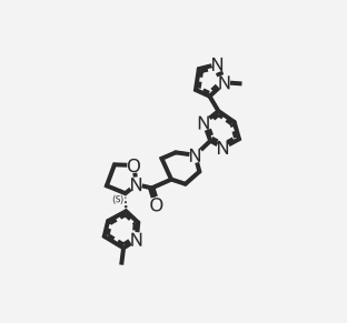 Cc1ccc([C@@H]2CCON2C(=O)C2CCN(c3nccc(-c4ccnn4C)n3)CC2)cn1